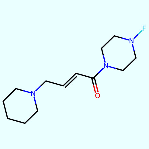 O=C(/C=C/CN1CCCCC1)N1CCN(F)CC1